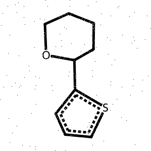 c1csc(C2CCCCO2)c1